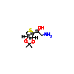 CC1(C)O[C@H]2[C@H]([C@@H](O)CN)SC[C@H]2O1